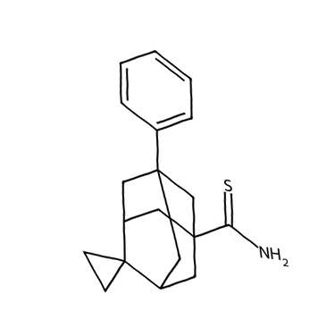 NC(=S)C12CC3CC(c4ccccc4)(CC(C1)C31CC1)C2